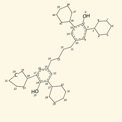 Oc1c(C2CCCCC2)cc(CCCCc2cc(C3CCCCC3)c(O)c(C3CCCCC3)c2)cc1C1CCCCC1